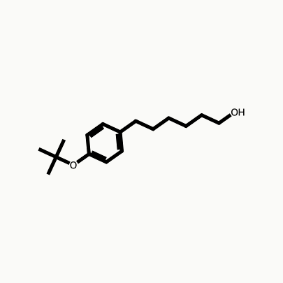 CC(C)(C)Oc1ccc(CCCCCCO)cc1